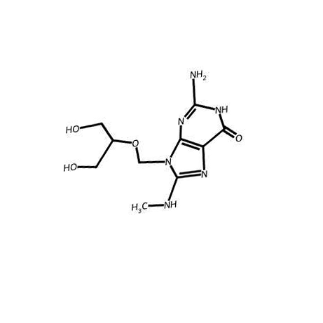 CNc1nc2c(=O)[nH]c(N)nc2n1COC(CO)CO